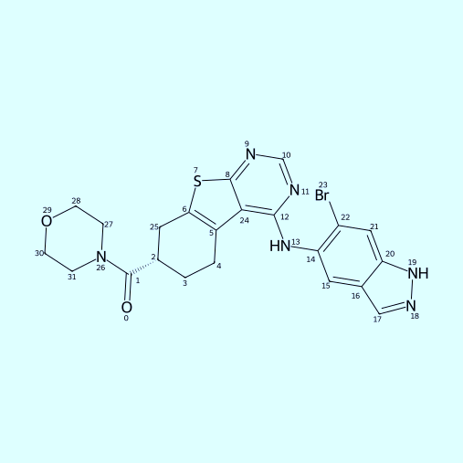 O=C([C@H]1CCc2c(sc3ncnc(Nc4cc5cn[nH]c5cc4Br)c23)C1)N1CCOCC1